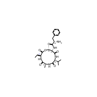 C/C=C1\NC(=O)[C@H](C)NC(=O)[C@H](C(C)C)NC(=O)[C@@H](NC(=O)[C@@H](N)Cc2ccccc2)[C@@H](C)OC1=O